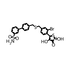 NS(=O)(=O)c1cccc(-c2ccc(CSCc3ccc(-c4sn(O)c(=O)c4O)c(Br)c3)cc2)c1